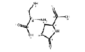 N[C@@H](CS)C(=O)O.O=C1NC(C(=O)O)CS1